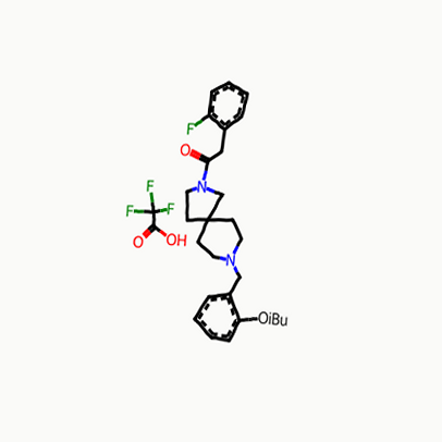 CC(C)COc1ccccc1CN1CCC2(CC1)CCN(C(=O)Cc1ccccc1F)C2.O=C(O)C(F)(F)F